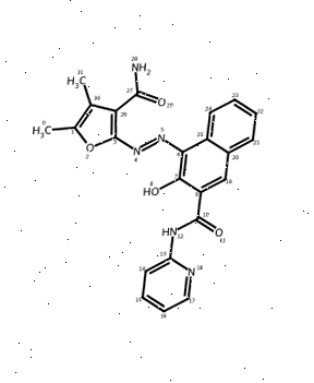 Cc1oc(/N=N/c2c(O)c(C(=O)Nc3ccccn3)cc3ccccc23)c(C(N)=O)c1C